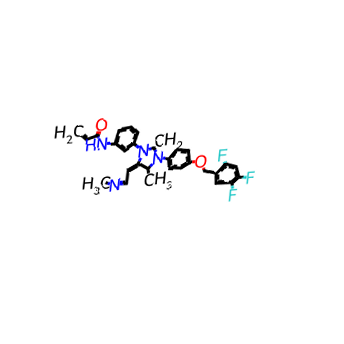 C=CC(=O)Nc1cccc(N2C(=C)N(c3ccc(OCc4cc(F)c(F)cc4F)cc3)C(C)/C2=C\C=N/C)c1